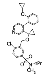 CCCN(C)S(=O)(=O)c1ccc(Cl)c(COC2(c3cnccc3-c3ccccc3OC3CC3)CC2)c1